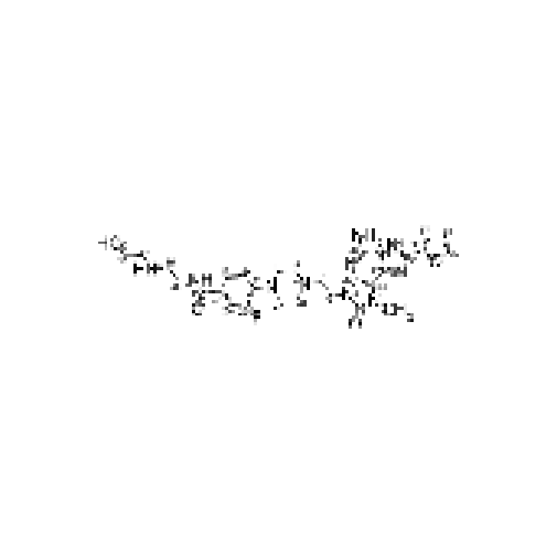 Cn1c(=O)n(CCN2CCN(c3ccc(C(=O)NCCNCCO)cc3F)CC2)c2nc(N)n3nc(-c4ccco4)nc3c21